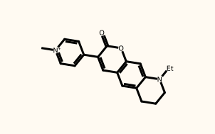 CCN1CCCc2cc3cc(-c4cc[n+](C)cc4)c(=O)oc3cc21